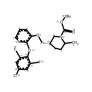 CC1CC[C@H](COc2cccnc2Oc2c(F)cc(Cl)cc2F)CN1C(=O)OC(C)(C)C